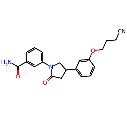 N#CCCCOc1cccc(C2CC(=O)N(c3cccc(C(N)=O)c3)C2)c1